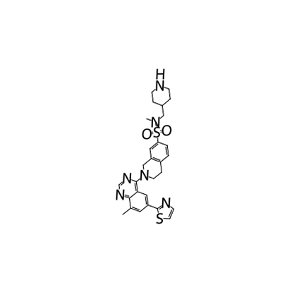 Cc1cc(-c2nccs2)cc2c(N3CCc4ccc(S(=O)(=O)N(C)CC5CCNCC5)cc4C3)ncnc12